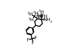 [2H]C([2H])([2H])C1(N)CCC(c2cccc(C(F)(F)F)c2)CC1(N)C([2H])([2H])[2H]